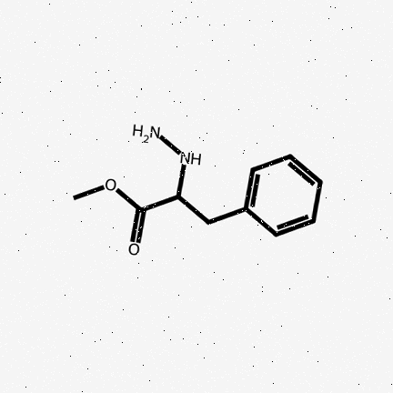 COC(=O)C(Cc1ccccc1)NN